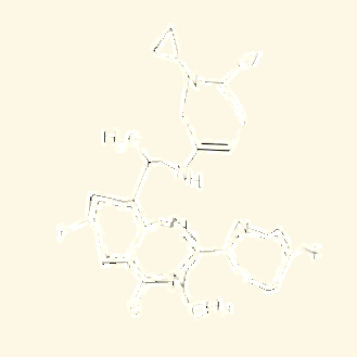 CC(NC1=CC=C(Cl)N(C2CC2)C1)c1cc(F)cc2c(=O)n(C)c(-c3ccc(F)cn3)nc12